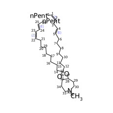 CCCCC/C=C\C/C=C/CCCCCCCC1(CCCCCCCC/C=C\C=C\CCCCC)OC2CCN(C)CCC2O1